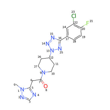 Cn1ncnc1CC(=O)N1CCC(n2nnc(-c3ccc(F)c(Cl)c3)n2)CC1